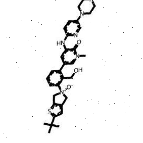 CN1CCN(c2ccc(Nc3cc(-c4cccc([N+]5([O-])Cc6cc(C(C)(C)C)sc6C5)c4CO)cn(C)c3=O)nc2)CC1